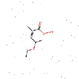 CCOC(C)C=C(C)C(=O)OO